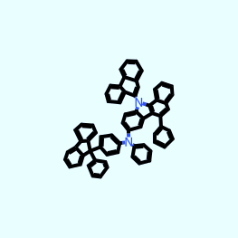 c1ccc(-c2cc3ccccc3c3c2c2cc(N(c4ccccc4)c4ccc(C5(c6ccccc6)c6ccccc6-c6ccccc65)cc4)ccc2n3-c2cc3ccccc3c3ccccc23)cc1